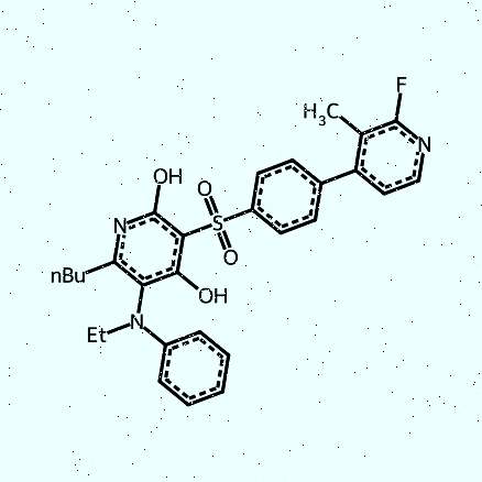 CCCCc1nc(O)c(S(=O)(=O)c2ccc(-c3ccnc(F)c3C)cc2)c(O)c1N(CC)c1ccccc1